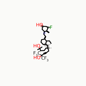 C=C1/C(=C\C=C2CCC[C@@]3(C)C2CC[C@@H]3[C@@](C)(CC#CC(O)(C(F)(F)F)C(F)(F)F)CCCC(C)(C)O)C[C@@H](O)C[C@H]1F